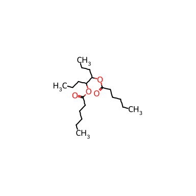 CCCCCC(=O)OC(CCC)C(CCC)OC(=O)CCCCC